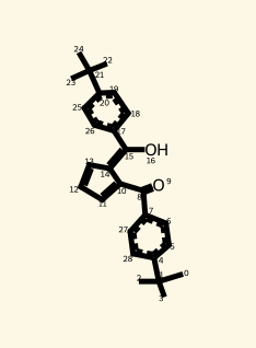 CC(C)(C)c1ccc(C(=O)C2=CC=CC2=C(O)c2ccc(C(C)(C)C)cc2)cc1